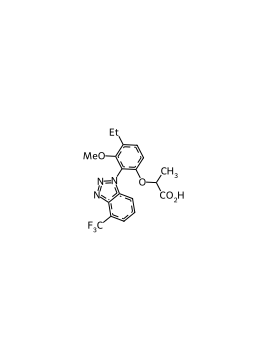 CCc1ccc(OC(C)C(=O)O)c(-n2nnc3c(C(F)(F)F)cccc32)c1OC